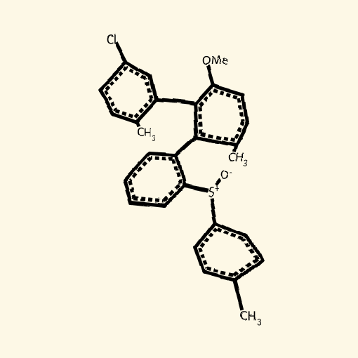 COc1ccc(C)c(-c2ccccc2[S+]([O-])c2ccc(C)cc2)c1-c1cc(Cl)ccc1C